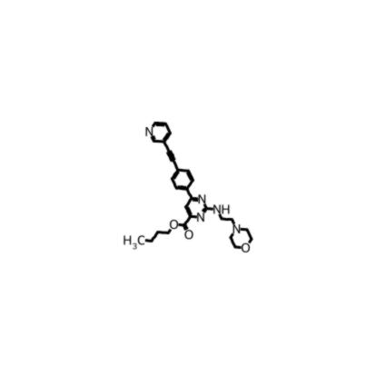 CCCCOC(=O)c1cc(-c2ccc(C#Cc3cccnc3)cc2)nc(NCCN2CCOCC2)n1